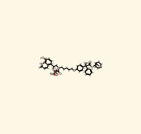 CC(C)(C)OC(=O)N(CCCCCOc1ccc(C(O)(C(=O)OC2CN3CCC2CC3)c2ccccc2)cc1)CC(O[Si](C)(C)C(C)(C)C)c1ccc(O)c2[nH]c(=O)ccc12